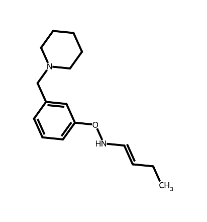 CCC=CNOc1cccc(CN2CCCCC2)c1